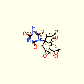 CC(CC1CO1)C(CC1CO1)(CC1CO1)n1c(=O)[nH]c(=O)[nH]c1=O